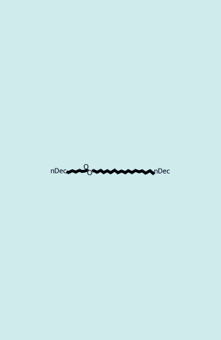 CCCCCCCCCCCCCCCCCCCCCCCCCCCCOC(=O)CCCCCCCCCCCCCCC